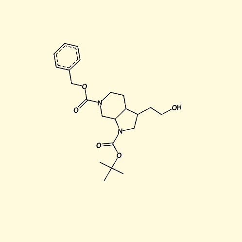 CC(C)(C)OC(=O)N1CC(CCO)C2CCN(C(=O)OCc3ccccc3)CC21